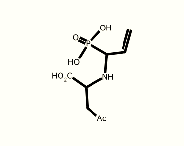 C=CC(NC(CC(C)=O)C(=O)O)P(=O)(O)O